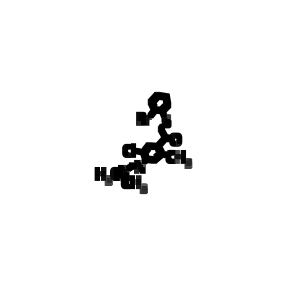 Cc1cc(N=CN(C)C)c(Cl)cc1C(=O)CSc1ccccc1Br